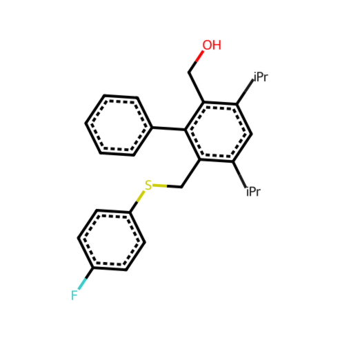 CC(C)c1cc(C(C)C)c(CSc2ccc(F)cc2)c(-c2ccccc2)c1CO